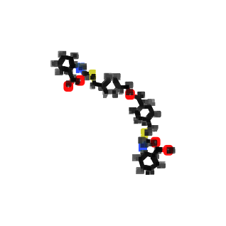 O=c1oc(SCc2ccc(COCc3ccc(CSc4nc5ccccc5c(=O)o4)cc3)cc2)nc2ccccc12